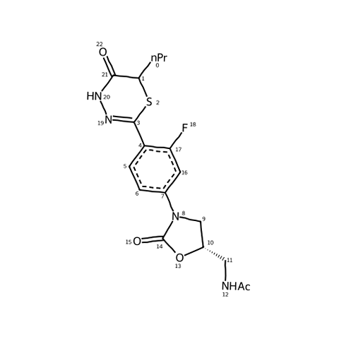 CCCC1SC(c2ccc(N3C[C@H](CNC(C)=O)OC3=O)cc2F)=NNC1=O